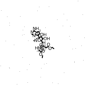 CCOC(=O)[C@H](C)NP(=O)(N[C@@H](C)C(=O)OCC)OCC1O[C@@](C=NC)(c2ccc3c(N)ncnn23)[C@H](O)[C@@H]1O